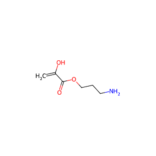 C=C(O)C(=O)OCCCN